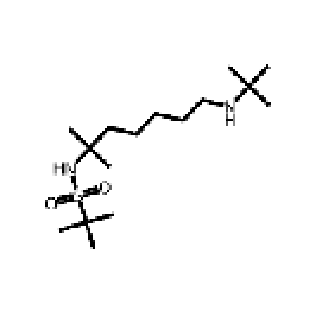 CC(C)(C)NCCCCCC(C)(C)NS(=O)(=O)C(C)(C)C